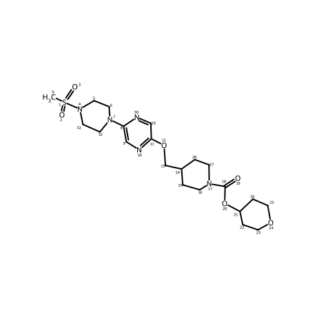 CS(=O)(=O)N1CCN(c2cnc(OCC3CCN(C(=O)OC4CCOCC4)CC3)cn2)CC1